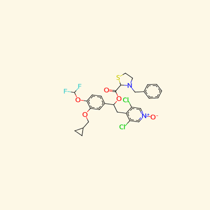 O=C(OC(Cc1c(Cl)c[n+]([O-])cc1Cl)c1ccc(OC(F)F)c(OCC2CC2)c1)C1SCCN1Cc1ccccc1